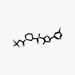 Cc1nc(-c2cncc(F)c2)sc1N(C)C(=O)C1CCCN(C(=O)CC(F)(F)F)C1